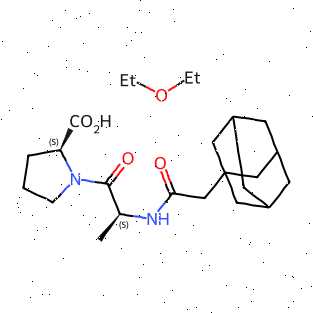 CCOCC.C[C@H](NC(=O)CC12CC3CC(CC(C3)C1)C2)C(=O)N1CCC[C@H]1C(=O)O